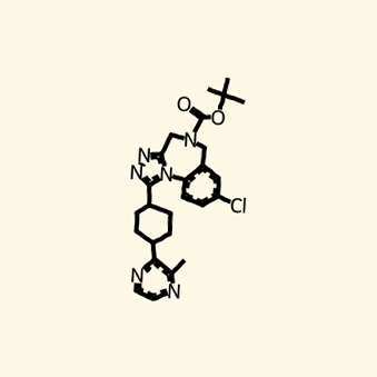 Cc1nccnc1C1CCC(c2nnc3n2-c2ccc(Cl)cc2CN(C(=O)OC(C)(C)C)C3)CC1